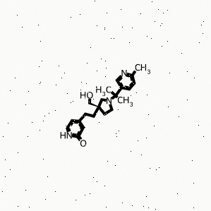 Cc1ccc(C(C)(C)N2CC[C@](CO)(CCc3cc[nH]c(=O)c3)C2)cn1